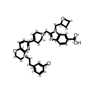 O=C(O)c1ccc2nc(CN3CC=C(c4ccc5c(n4)N(CCc4cccc(Cl)c4)CCO5)CC3)n(CC3CCO3)c2c1